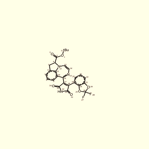 CC(C)(C)OC(=O)C1Cc2cccc3c2N1C=CN=C3C1=C(c2cccc3c2OC(F)(F)O3)C(=O)NC1=O